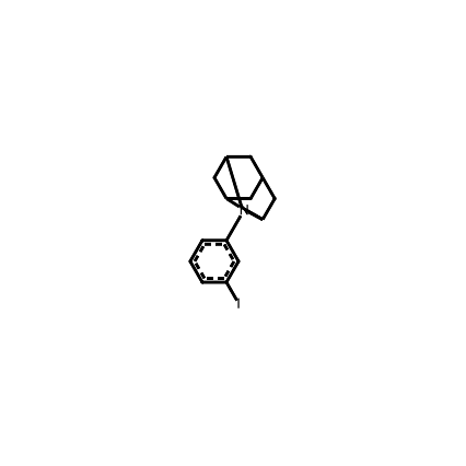 Ic1cccc(N2C3CC4CC(C3)CC2C4)c1